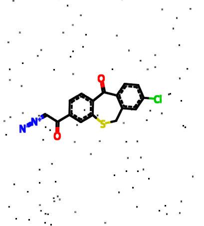 [N-]=[N+]=CC(=O)c1ccc2c(c1)SCc1cc(Cl)ccc1C2=O